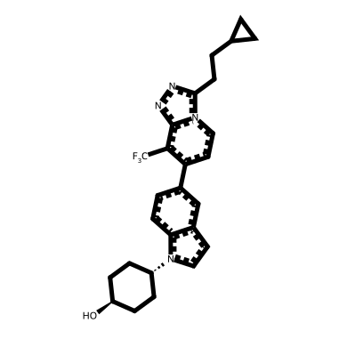 O[C@H]1CC[C@H](n2ccc3cc(-c4ccn5c(CCC6CC6)nnc5c4C(F)(F)F)ccc32)CC1